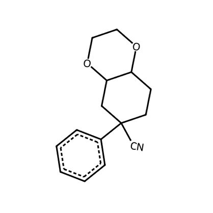 N#CC1(c2ccccc2)CCC2OCCOC2C1